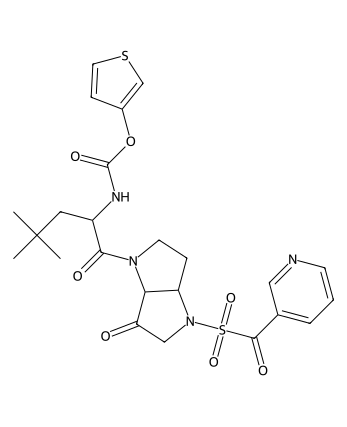 CC(C)(C)CC(NC(=O)Oc1ccsc1)C(=O)N1CCC2C1C(=O)CN2S(=O)(=O)C(=O)c1cccnc1